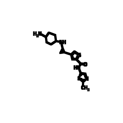 Cc1ncc(NC(=O)c2cc(C3CC3NC3CCC(N)CC3)cs2)s1